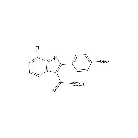 C#CC(=O)c1c(-c2ccc(OC)cc2)nc2c(Cl)cccn12